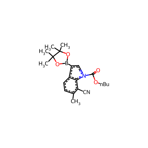 CCCCOC(=O)n1cc(B2OC(C)(C)C(C)(C)O2)c2ccc(C)c(C#N)c21